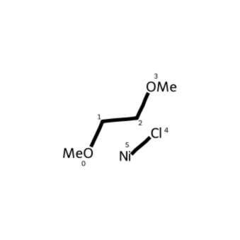 COCCOC.[Cl][Ni]